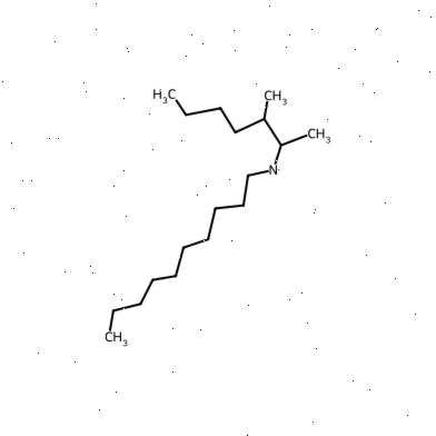 CCCCCCCCCC[N]C(C)C(C)CCCC